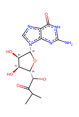 CC(C)C(=O)C([O])[C@H]1O[C@@H](n2cnc3c(=O)[nH]c(N)nc32)[C@H](O)[C@@H]1O